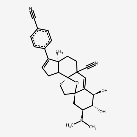 CN(C)[C@H]1C[C@@]23CC[C@]4(O2)C2CC=C(c5ccc(C#N)cc5)[C@@]2(C)CCC4(C#N)C=C3[C@@H](O)[C@@H]1O